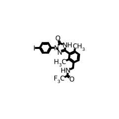 Cc1ccc(CNC(=O)C(F)(F)F)c(C)c1-c1nn(-c2ccc(I)cc2)c(=O)[nH]1